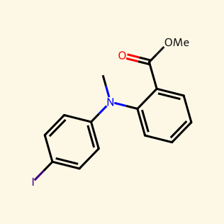 COC(=O)c1ccccc1N(C)c1ccc(I)cc1